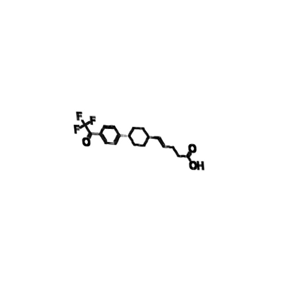 O=C(O)CCC=C[C@H]1CC[C@H](c2ccc(C(=O)C(F)(F)F)cc2)CC1